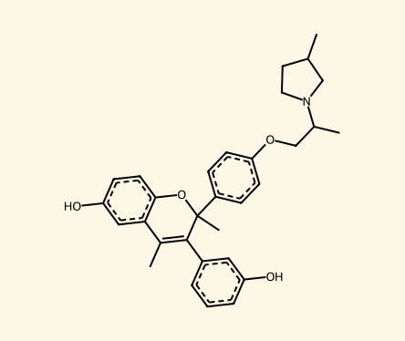 CC1=C(c2cccc(O)c2)C(C)(c2ccc(OCC(C)N3CCC(C)C3)cc2)Oc2ccc(O)cc21